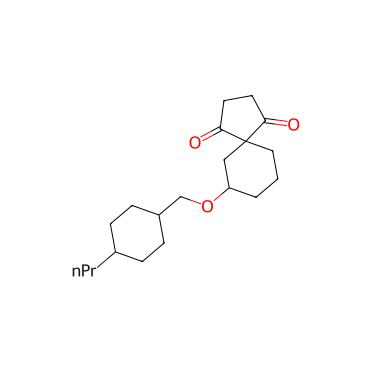 CCCC1CCC(COC2CCCC3(C2)C(=O)CCC3=O)CC1